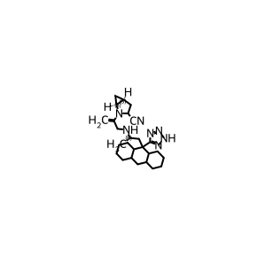 C=C(CN[C@H](C)CC1(c2nn[nH]n2)C2CCCCC2CC2CCCCC21)N1C(C#N)C[C@@H]2C[C@@H]21